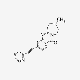 CC1CCc2nc3cc(C#Cc4ccccn4)ccc3c(=O)n2CC1